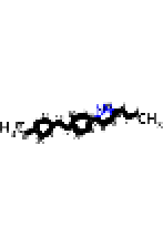 CCCCc1ccc(-c2ccc(CCC3CCC(CC)CC3)cc2)nn1